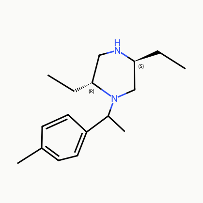 CC[C@H]1CN(C(C)c2ccc(C)cc2)[C@H](CC)CN1